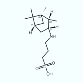 C[C@@H]1[C@H](NCCCS(=O)(=O)O)C[C@H]2C[C@@]1(C)C2(C)C